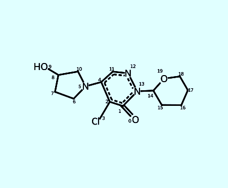 O=c1c(Cl)c(N2CCC(O)C2)cnn1C1CCCCO1